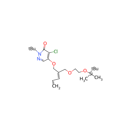 C=C/C=C(/COCCO[Si](C)(C)C(C)(C)C)COc1cnn(C(C)(C)C)c(=O)c1Cl